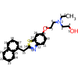 CCN(CCO)CCOc1ccc2nc(Cc3cccc4ccccc34)sc2c1